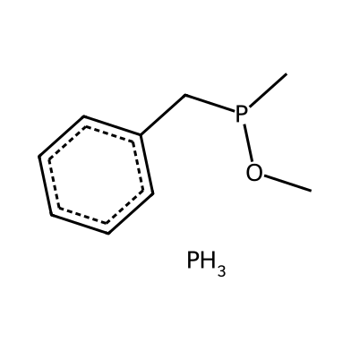 COP(C)Cc1ccccc1.P